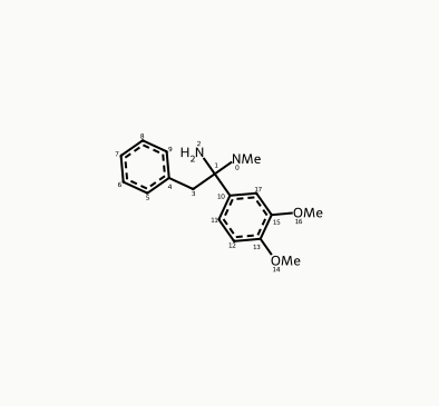 CNC(N)(Cc1ccccc1)c1ccc(OC)c(OC)c1